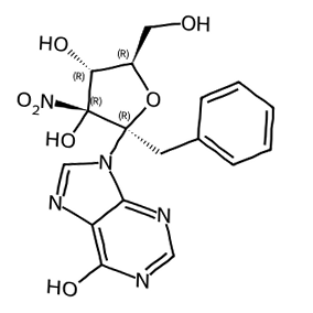 O=[N+]([O-])[C@@]1(O)[C@H](O)[C@@H](CO)O[C@@]1(Cc1ccccc1)n1cnc2c(O)ncnc21